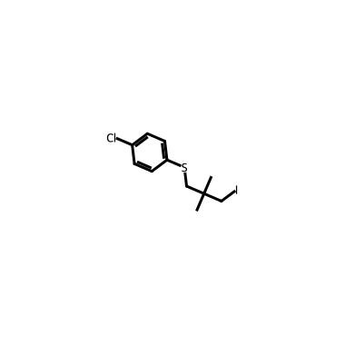 CC(C)(CI)CSc1ccc(Cl)cc1